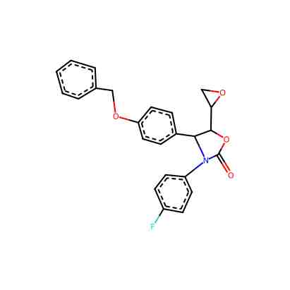 O=C1OC(C2CO2)C(c2ccc(OCc3ccccc3)cc2)N1c1ccc(F)cc1